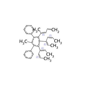 C=C/C=C(\C)c1c(C(/C=C\C)=C/C)c(C(/C=C\C)=C/C)c(-c2ccccc2)c(C)c1-c1ccccc1